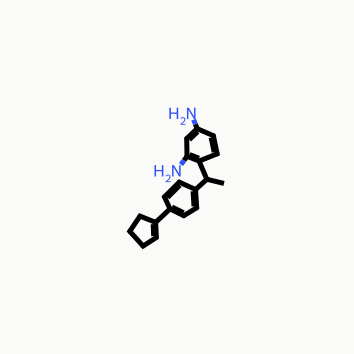 CC(c1ccc(C2=CCCC2)cc1)c1ccc(N)cc1N